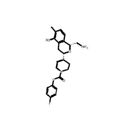 Cc1ccc2c(c1O)C[C@@H](C1CCN(C(=O)Oc3ccc(F)cc3)CC1)O[C@H]2CN